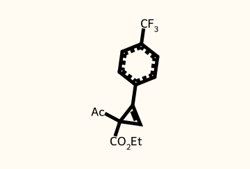 CCOC(=O)C1(C(C)=O)C=C1c1ccc(C(F)(F)F)cc1